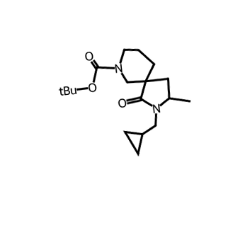 CC1CC2(CCCN(C(=O)OC(C)(C)C)C2)C(=O)N1CC1CC1